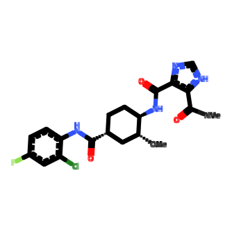 CNC(=O)c1[nH]cnc1C(=O)N[C@@H]1CC[C@@H](C(=O)Nc2ccc(F)cc2Cl)C[C@H]1OC